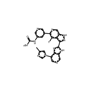 CCCCC(=O)Nc1cncc(-c2ncc3[nH]nc(-c4nc5c(-n6cnc(C)c6)cncc5[nH]4)c3c2F)c1